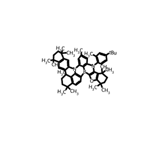 Cc1cc2c3c(c1)N1c4cc5c(cc4C4(C)CCC(C)(C)c6ccc(c1c64)B3c1oc3c(c1N2c1ccc(C(C)(C)C)cc1C)C(C)(C)CCC3(C)C)C(C)(C)CCC5(C)C